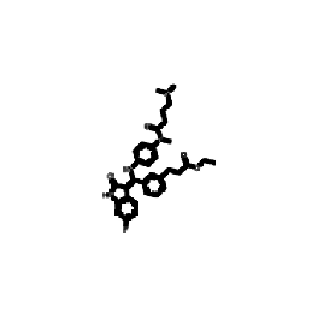 CCOC(=O)CCc1cccc(/C(Nc2ccc(N(C)C(=O)CCCN(C)C)cc2)=C2/C(=O)Nc3cc(F)ccc32)c1